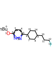 CCCCOc1ccc(C2CCC(CCCF)CC2)nn1